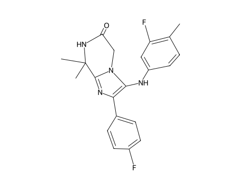 Cc1ccc(Nc2c(-c3ccc(F)cc3)nc3n2CC(=O)NC3(C)C)cc1F